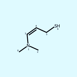 CN(C)/C=C\CS